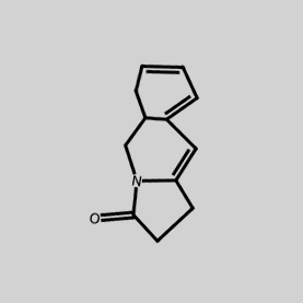 O=C1CCC2=CC3=CC=CCC3CN12